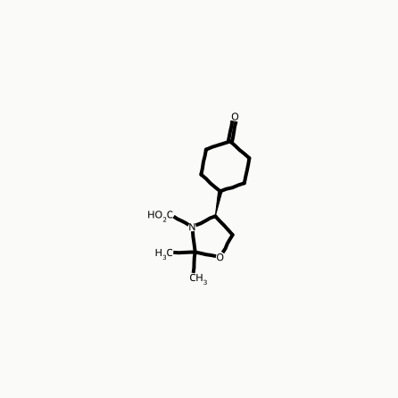 CC1(C)OC[C@H](C2CCC(=O)CC2)N1C(=O)O